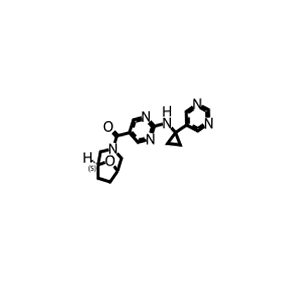 O=C(c1cnc(NC2(c3cncnc3)CC2)nc1)N1CC2CC[C@@H](C1)O2